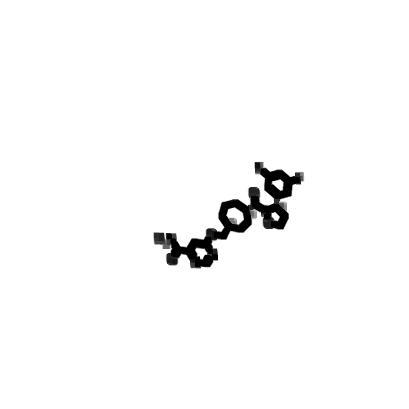 NC(=O)c1cc(OC[C@H]2CCC[C@H](C(=O)N3OCC[C@H]3c3cc(F)cc(F)c3)CC2)ncn1